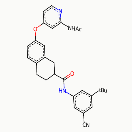 CC(=O)Nc1cc(Oc2ccc3c(c2)CC(C(=O)Nc2cc(C#N)cc(C(C)(C)C)c2)CC3)ccn1